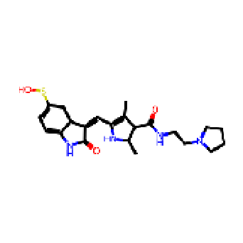 CC1=C(/C=C2\C(=O)NC3=CC=C(SO)CC32)NC(C)C1C(=O)NCCN1CCCC1